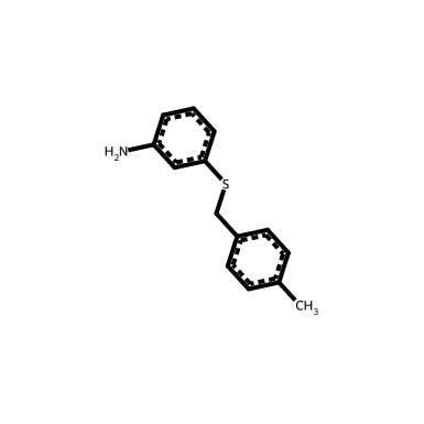 Cc1ccc(CSc2cccc(N)c2)cc1